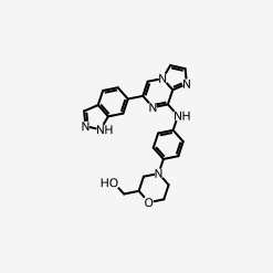 OCC1CN(c2ccc(Nc3nc(-c4ccc5cn[nH]c5c4)cn4ccnc34)cc2)CCO1